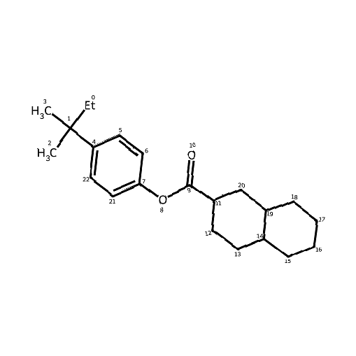 CCC(C)(C)c1ccc(OC(=O)C2CCC3CCCCC3C2)cc1